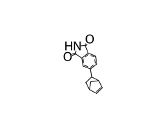 O=C1NC(=O)c2cc(C3CC4C=CC3C4)ccc21